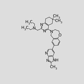 CCN(CC)Cc1nc2c(c(N3CCOc4ccc(-c5cnc6nc(C)[nH]c6c5)cc4C3)n1)CC(C)(C)CC2